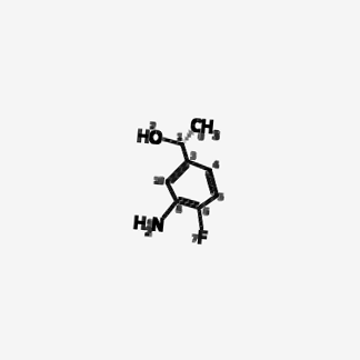 C[C@@H](O)c1ccc(F)c(N)c1